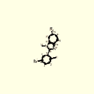 Cc1ccc(Br)cc1-c1nc2ccc(F)cc2n1C